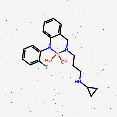 OS1(O)N(CCCNC2CC2)Cc2ccccc2N1c1ccccc1F